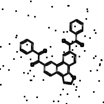 O=C(C(=O)c1ccc2c(c1)c1cc(C(=O)C(=O)c3ccccc3)ccc1c1occc21)c1ccccc1